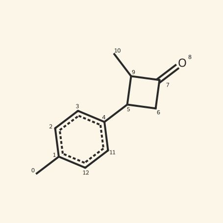 Cc1ccc(C2CC(=O)C2C)cc1